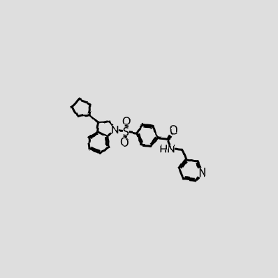 O=C(NCc1cccnc1)c1ccc(S(=O)(=O)N2CC(C3CCCC3)c3ccccc32)cc1